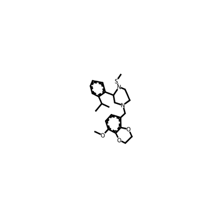 COc1ccc(CN2CCN(SC)C(c3ccccc3C(C)C)C2)c2c1OCCO2